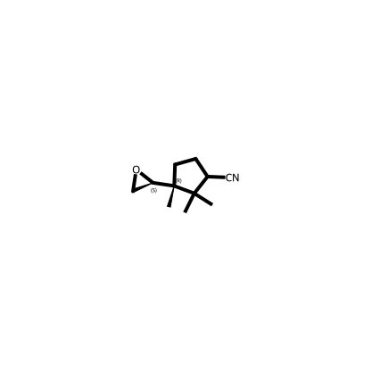 CC1(C)C(C#N)CC[C@@]1(C)[C@H]1CO1